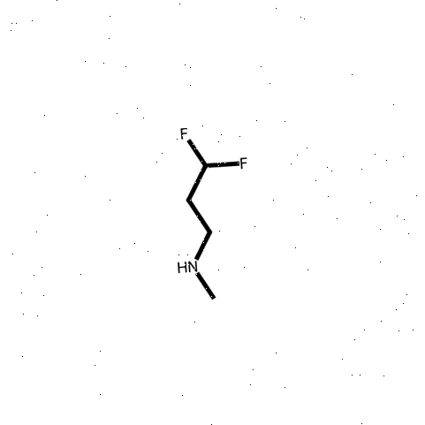 CNCCC(F)F